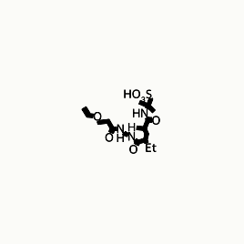 C=COCCC(=O)NCNC(=O)C(CC)CC(C)C(=O)NC(C)(C)CS(=O)(=O)O